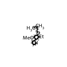 CCc1cc(-c2ccc[c]n2)c(OC)cc1OCCN(C)C